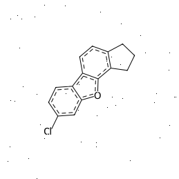 Clc1ccc2c(c1)oc1c3c(ccc12)CCC3